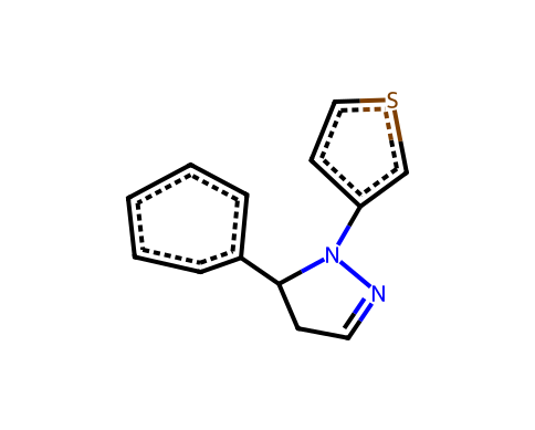 C1=NN(c2ccsc2)C(c2ccccc2)C1